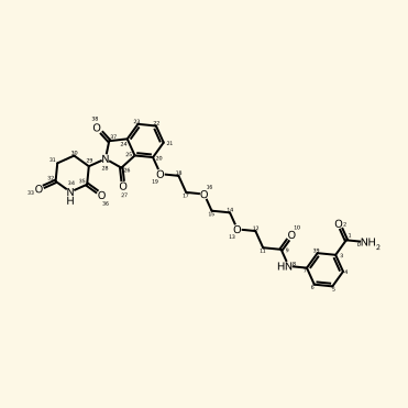 NC(=O)c1cccc(NC(=O)CCOCCOCCOc2cccc3c2C(=O)N(C2CCC(=O)NC2=O)C3=O)c1